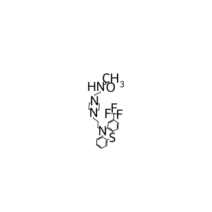 CC(=O)NCCN1CCN(CCCN2c3ccccc3Sc3ccc(C(F)(F)F)cc32)CC1